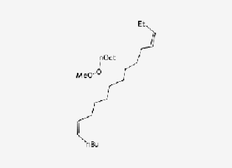 CC/C=C\CCCCCCCC/C=C\CCCC.CCCCCCCCOOC